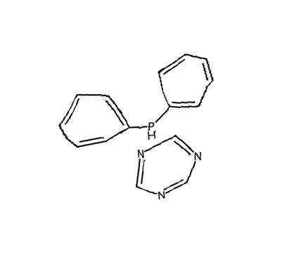 c1ccc(Pc2ccccc2)cc1.c1ncncn1